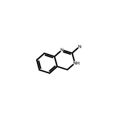 [N]C1=Nc2ccccc2CN1